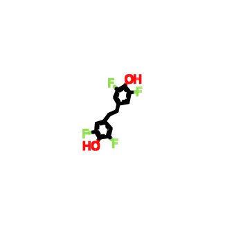 Oc1c(F)cc(CCc2cc(F)c(O)c(F)c2)cc1F